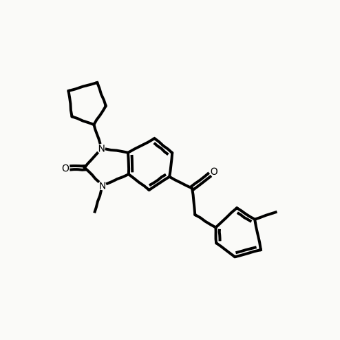 Cc1cccc(CC(=O)c2ccc3c(c2)n(C)c(=O)n3C2CCCC2)c1